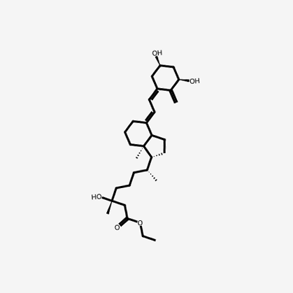 C=C1/C(=C\C=C2CCC[C@@]3(C)C2CC[C@@H]3[C@H](C)CCC[C@@](C)(O)CC(=O)OCC)C[C@@H](O)C[C@H]1O